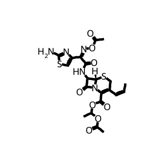 C/C=C\C1=C(C(=O)OC(C)OC(C)=O)N2C(=O)C(NC(=O)/C(=N\OC(C)=O)c3csc(N)n3)[C@@H]2SC1